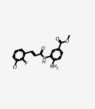 COC(=O)c1ccc(N)c(NC(=O)/C=C/c2cccc(Cl)c2F)c1